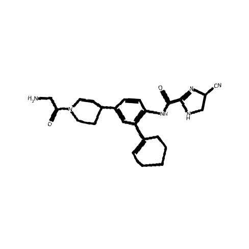 N#CC1CNC(C(=O)Nc2ccc(C3CCN(C(=O)CN)CC3)cc2C2=CCCCC2)=N1